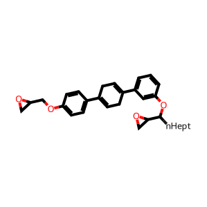 CCCCCCCC(Oc1cccc(C2=CCC(c3ccc(OCC4CO4)cc3)=CC2)c1)C1CO1